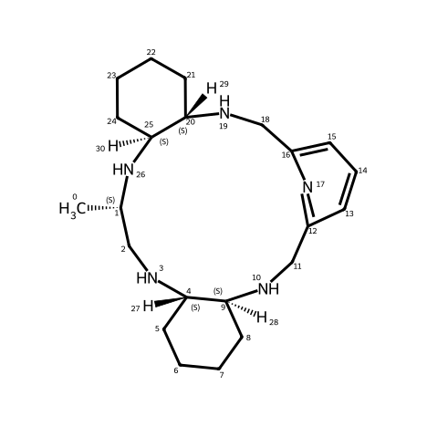 C[C@H]1CN[C@H]2CCCC[C@@H]2NCc2cccc(n2)CN[C@H]2CCCC[C@@H]2N1